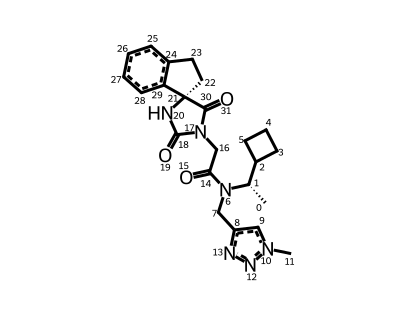 C[C@@H](C1CCC1)N(Cc1cn(C)nn1)C(=O)CN1C(=O)N[C@]2(CCc3ccccc32)C1=O